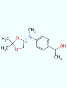 CC(O)c1ccc(N(C)[C@@H]2COC(C)(C)O2)cc1